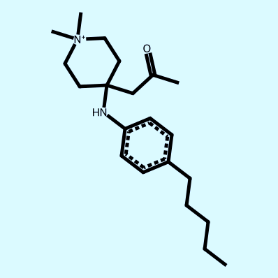 CCCCCc1ccc(NC2(CC(C)=O)CC[N+](C)(C)CC2)cc1